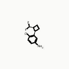 Nc1ccc(Cl)c([C@@H]2CC[C@@H]2C(F)F)c1